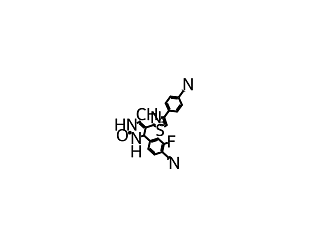 CC1=C(c2nc(-c3ccc(C#N)cc3)cs2)C(c2ccc(C#N)c(F)c2)NC(=O)N1